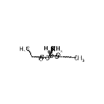 CCCCCC=CCC=CCCCCCCCC(=O)OCCCCOc1ccc(OCCCCOC(=O)CCCCCCC/C=C\CC=CCCCCC)cc1COC(=O)CCCN(C)C